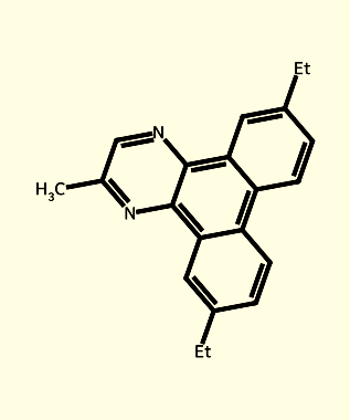 CCc1ccc2c3ccc(CC)cc3c3nc(C)cnc3c2c1